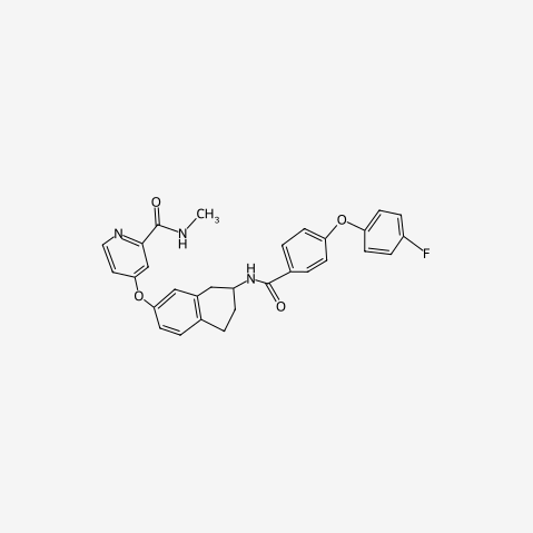 CNC(=O)c1cc(Oc2ccc3c(c2)CC(NC(=O)c2ccc(Oc4ccc(F)cc4)cc2)CC3)ccn1